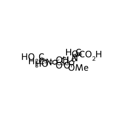 COc1cc2c(c(Cl)c1OCCCOc1cc3c(cc1O)CN(C(O)C[C@H](C)C(=O)O)C3)CN(C(=O)C[C@H](C)C(=O)O)C2